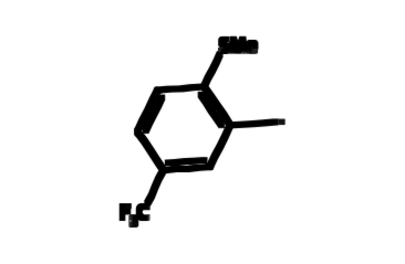 [CH2]c1cc(C(F)(F)F)ccc1SC